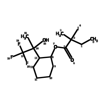 CCC(C)(I)C(=O)OC1CCCCC1C(C)(O)C(F)(F)F